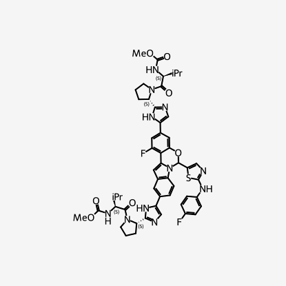 COC(=O)N[C@H](C(=O)N1CCC[C@H]1c1ncc(-c2cc(F)c3c(c2)OC(c2cnc(Nc4ccc(F)cc4)s2)n2c-3cc3cc(-c4cnc([C@@H]5CCCN5C(=O)[C@@H](NC(=O)OC)C(C)C)[nH]4)ccc32)[nH]1)C(C)C